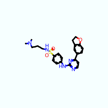 CN(C)CCCNS(=O)(=O)c1ccc(Nc2nccc(-c3ccc4c(c3)CCO4)n2)cc1